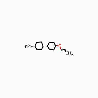 C=CCOC1CCC([C@H]2CC[C@H](CCC)CC2)CC1